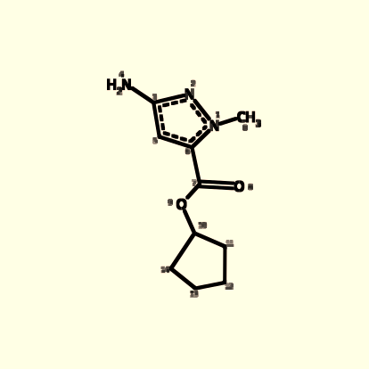 Cn1nc(N)cc1C(=O)OC1CCCC1